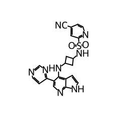 N#Cc1ccnc(S(=O)(=O)NC2CC(Nc3c(-c4ccncn4)cnc4[nH]ccc34)C2)c1